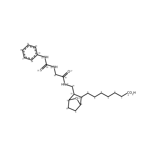 O=C(O)CCCCCCC1C2CCC(O2)C1CNC(=O)CNC(=S)Nc1ccccc1